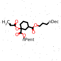 C=CC(=O)OC1(C(=O)OCCCCC)CCCC(C(=O)OCCCCCCCCCCCCC)C1